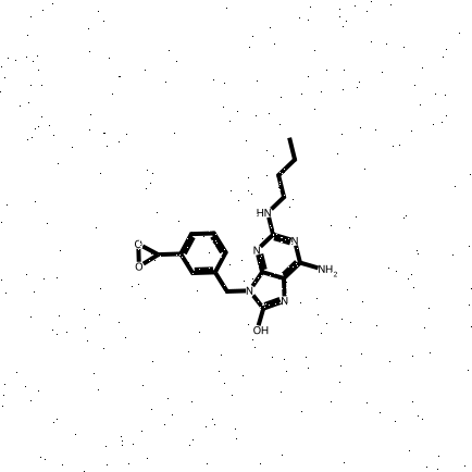 CCCCNc1nc(N)c2nc(O)n(Cc3cccc(C4OO4)c3)c2n1